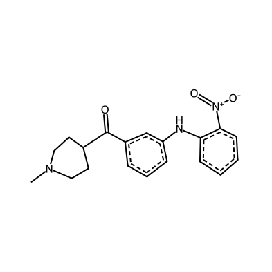 CN1CCC(C(=O)c2cccc(Nc3ccccc3[N+](=O)[O-])c2)CC1